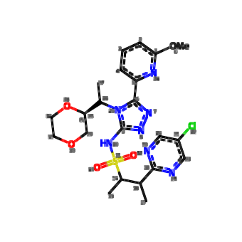 COc1cccc(-c2nnc(NS(=O)(=O)C(C)C(C)c3ncc(Cl)cn3)n2C(C)[C@H]2COCCO2)n1